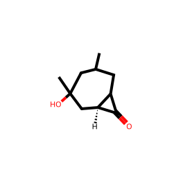 CC1CC2C(=O)[C@H]2CC(C)(O)C1